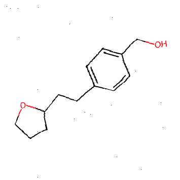 OCc1ccc(CCC2CCCO2)cc1